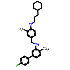 O=C(O)c1ccc(-c2ccc(F)cc2)cc1NCc1ccc(NCCCC2CCCCC2)c([N+](=O)[O-])c1